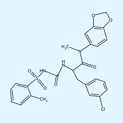 Cc1ccccc1S(=O)(=O)NC(=O)NC(Cc1cccc(Cl)c1)C(=O)N(C)c1ccc2c(c1)OCO2